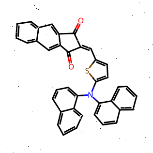 O=C1C(=Cc2ccc(N(c3cccc4ccccc34)c3cccc4ccccc34)s2)C(=O)c2cc3ccccc3cc21